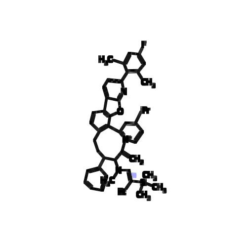 C=C1C(N(C)/C=C(\CC)[Si](C)(C)C)C(c2ccccc2)CCc2ccc3c(oc4nc(-c5c(C)cc(F)cc5C)ccc43)c2-c2cc(C(C)C)cc[n+]21